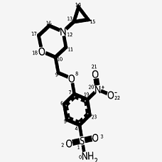 NS(=O)(=O)c1ccc(OCC2CN(C3CC3)CCO2)c([N+](=O)[O-])c1